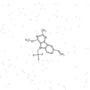 C=Cc1ccc2c(c1)c1nc(C)nc(OC)c1n2CC(F)(F)F